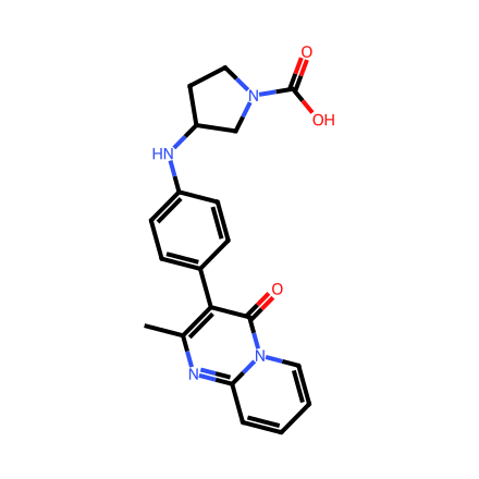 Cc1nc2ccccn2c(=O)c1-c1ccc(NC2CCN(C(=O)O)C2)cc1